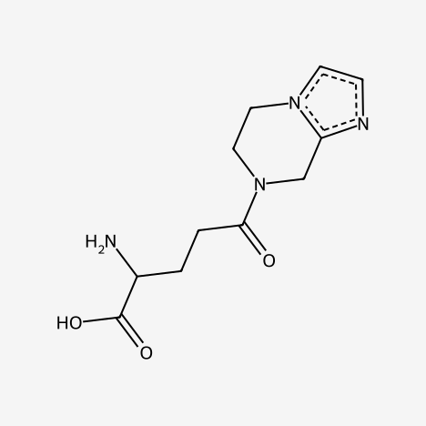 NC(CCC(=O)N1CCn2ccnc2C1)C(=O)O